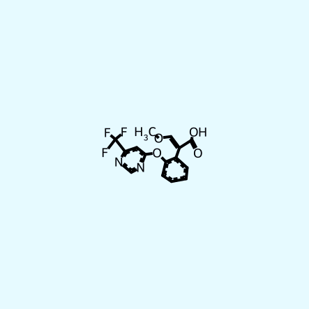 CO/C=C(/C(=O)O)c1ccccc1Oc1cc(C(F)(F)F)ncn1